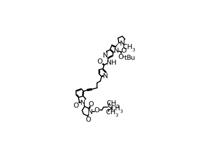 CN1CCC[C@@H]1c1cc2cnc(NC(=O)c3ccc(CCCC#Cc4cccc5c4CN(C4CCC(=O)N(COCC[Si](C)(C)C)C4=O)C5=O)nc3)cc2n1C(=O)OC(C)(C)C